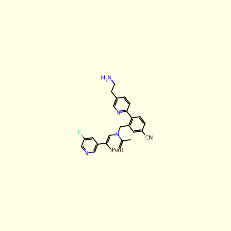 C=C(C)N(/C=C(/c1cncc(F)c1)C(C)CCC)Cc1cc(C#N)ccc1-c1ccc(CCN)cn1